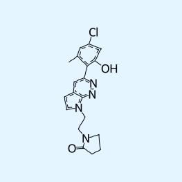 Cc1cc(Cl)cc(O)c1-c1cc2ccn(CCN3CCCC3=O)c2nn1